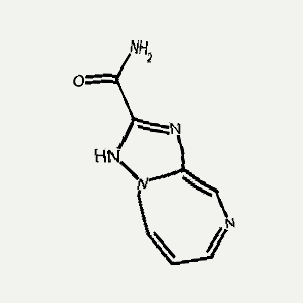 NC(=O)C1=NC2=CN=CC=CN2N1